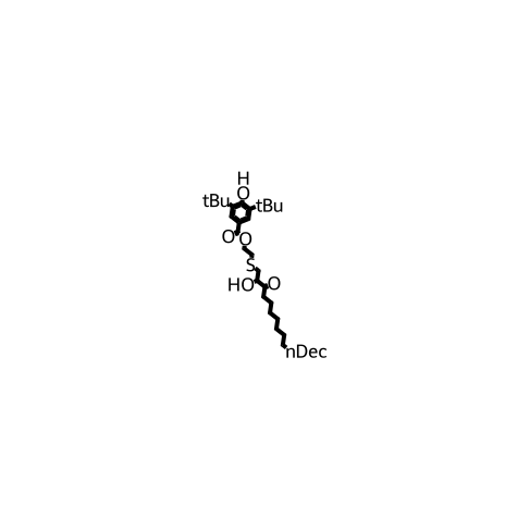 CCCCCCCCCCCCCCCCCC(=O)C(O)CSCCOC(=O)c1cc(C(C)(C)C)c(O)c(C(C)(C)C)c1